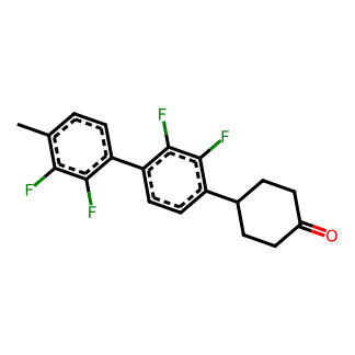 Cc1ccc(-c2ccc(C3CCC(=O)CC3)c(F)c2F)c(F)c1F